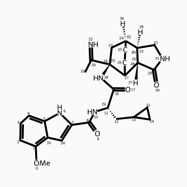 COc1cccc2[nH]c(C(=O)N[C@@H](CC3CC3)C(=O)N[C@@]3(C(C)=N)C[C@@H]4CCC3[C@H]3C(=O)NC[C@H]43)cc12